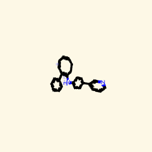 C1=CCC/C(Nc2ccc(-c3cccnc3)cc2)=C(c2ccccc2)\C=C/1